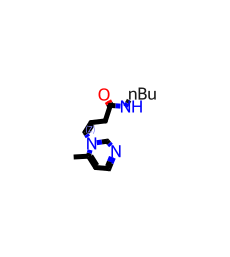 CCCCNC(=O)C/C=C\N1CN=CC=C1C